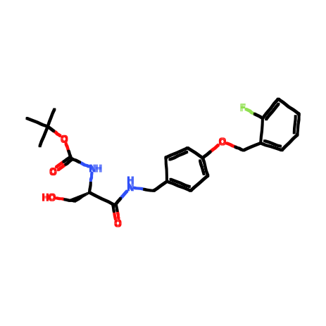 CC(C)(C)OC(=O)N[C@H](CO)C(=O)NCc1ccc(OCc2ccccc2F)cc1